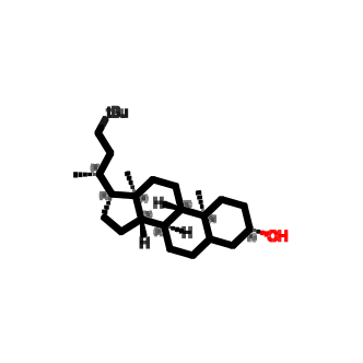 C[C@H](CCC(C)(C)C)[C@H]1CC[C@H]2[C@@H]3CCC4C[C@@H](O)CC[C@]4(C)[C@H]3CC[C@]12C